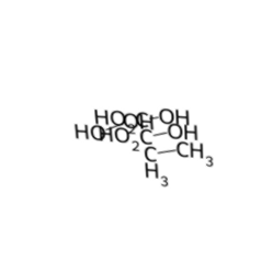 CC.O=C(O)O.O=C(O)O.OO